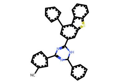 N#Cc1cccc(C2=NC(c3ccccc3)NC(c3cc(-c4ccccc4)c4c(c3)sc3ccccc34)=N2)c1